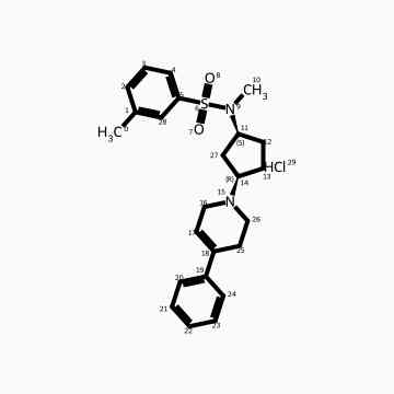 Cc1cccc(S(=O)(=O)N(C)[C@H]2CC[C@@H](N3CC=C(c4ccccc4)CC3)C2)c1.Cl